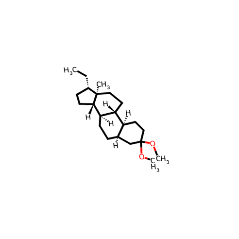 CC[C@H]1CC[C@H]2[C@@H]3CC[C@@H]4CC(OC)(OC)CC[C@@H]4[C@H]3CC[C@]12C